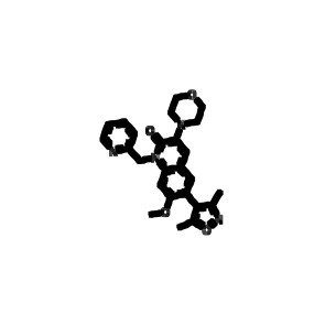 COc1cc2c(cc1-c1c(C)noc1C)cc(N1CCOCC1)c(=O)n2Cc1ccccn1